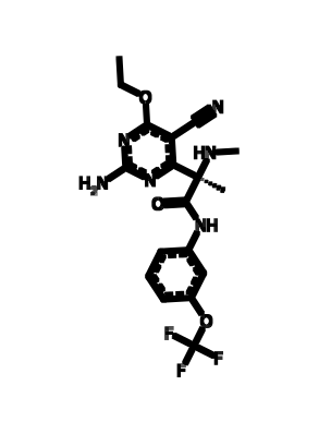 CCOc1nc(N)nc([C@@](C)(NC)C(=O)Nc2cccc(OC(F)(F)F)c2)c1C#N